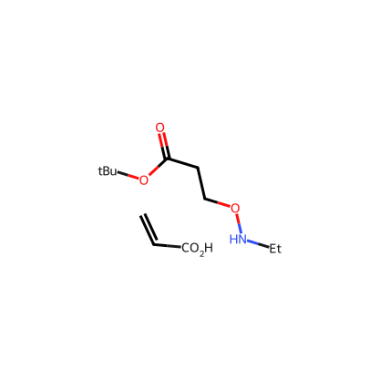 C=CC(=O)O.CCNOCCC(=O)OC(C)(C)C